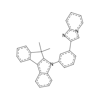 CC1(C)c2ccccc2-c2c1n(-c1cccc(-c3cn4ccccc4n3)c1)c1ccccc21